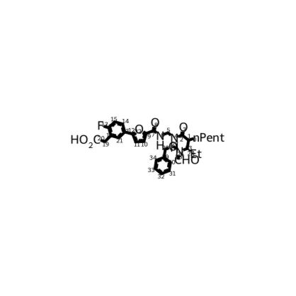 CCCCCC(C(=O)NCNC(=O)c1ccc(-c2ccc(F)c(CC(=O)O)c2)o1)[C@@H](CC)N(C=O)OCc1ccccc1